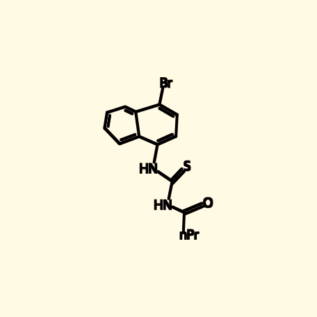 CCCC(=O)NC(=S)Nc1ccc(Br)c2ccccc12